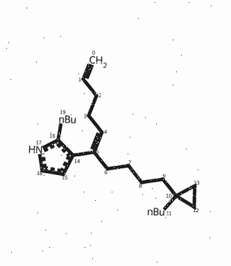 C=CCC/C=C(/CCCCC1(CCCC)CC1)c1cc[nH]c1CCCC